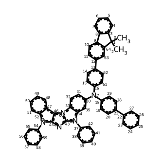 CC1(C)c2ccccc2-c2ccc(-c3ccc(N(c4ccc(-c5ccccc5)cc4)c4ccc5c(c4)n(-c4ccccc4)c4nc6c(c7ccccc7n6-c6ccccc6)n54)cc3)cc21